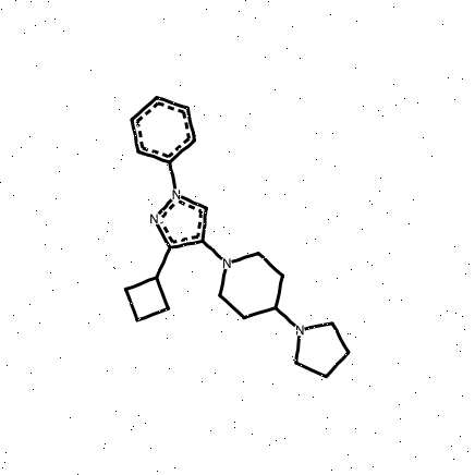 c1ccc(-n2cc(N3CCC(N4CCCC4)CC3)c(C3CCC3)n2)cc1